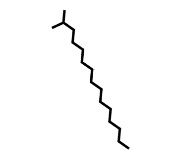 CCCCCCCC[CH]CCCCC(C)C